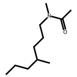 CCCC(C)CCCN(C)C(C)=O